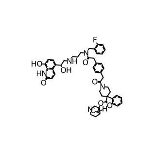 O=C(Cc1ccc(CC(=O)N(CCCNCC(O)c2ccc(O)c3[nH]c(=O)ccc23)Cc2ccccc2F)cc1)N1CCC(C(=O)O[C@H]2CN3CCC2CC3)(c2ccccc2)CC1